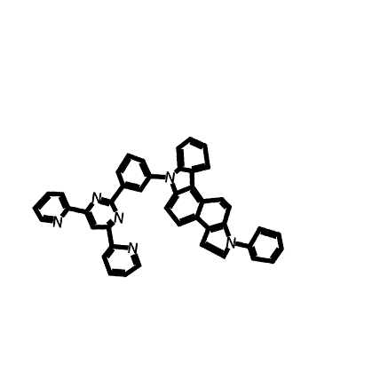 c1ccc(-n2ccc3c4ccc5c(c4ccc32)c2ccccc2n5-c2cccc(-c3nc(-c4ccccn4)cc(-c4ccccn4)n3)c2)cc1